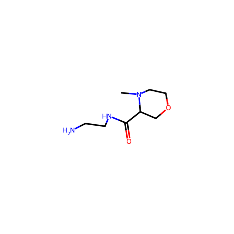 CN1CCOCC1C(=O)NCCN